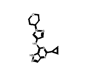 c1nn(C2CCOCC2)cc1Nc1nc(C2CC2)nc2cn[nH]c12